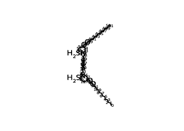 CCCCCCCCCCCCCOCOC1CCC[SiH2]N(CCCSSSSCCCN2CCC(OCOCCCCCCCCCCCCC)CCC[SiH2]2)CC1